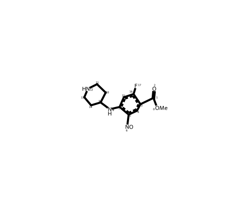 COC(=O)c1cc(N=O)c(NC2CCNCC2)cc1F